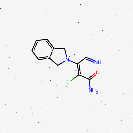 N=C/C(=C(/Cl)C(N)=O)N1Cc2ccccc2C1